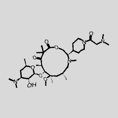 CO[C@]1(C)C[C@@H](C)CN(C)[C@H](C2CCN(C(=O)CN(C)C)CC2)COC(=O)C(C)(C)C(=O)[C@H](C)[C@H]1O[C@@H]1O[C@H](C)C[C@H](N(C)C)[C@H]1O